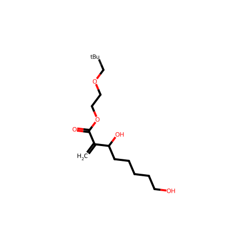 C=C(C(=O)OCCOCC(C)(C)C)C(O)CCCCCO